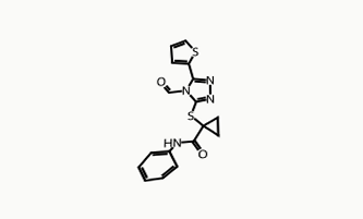 O=Cn1c(SC2(C(=O)Nc3ccccc3)CC2)nnc1-c1cccs1